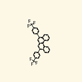 FC(F)(F)c1ccc(-c2cc3cc(-c4ccc(C(F)(F)F)cc4)c4ccccc4c3c3ccccc23)cc1